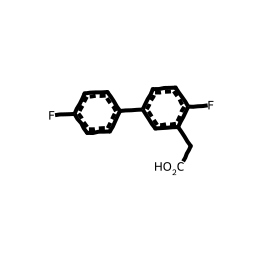 O=C(O)Cc1cc(-c2ccc(F)cc2)ccc1F